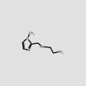 Cn1ccnc1CNCCN